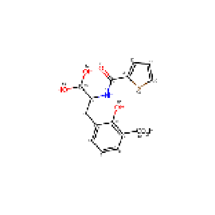 O=C(NC(Cc1cccc(C(=O)O)c1O)B(O)O)c1cccs1